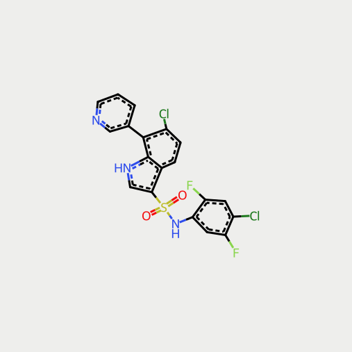 O=S(=O)(Nc1cc(F)c(Cl)cc1F)c1c[nH]c2c(-c3cccnc3)c(Cl)ccc12